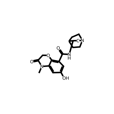 CN1C(=O)COc2c(C(=O)NC3CN4CCC3CC4)cc(O)cc21